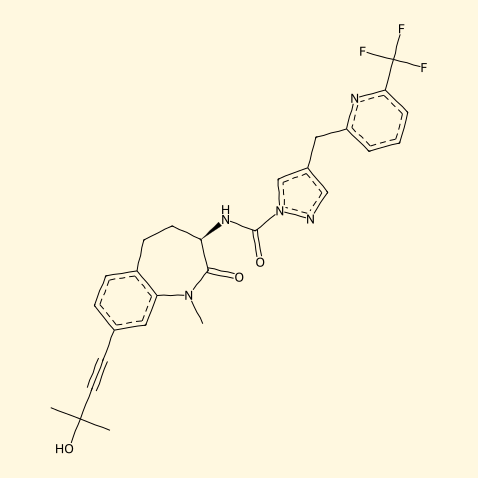 CN1C(=O)[C@H](NC(=O)n2cc(Cc3cccc(C(F)(F)F)n3)cn2)CCc2ccc(C#CC(C)(C)O)cc21